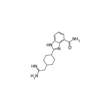 N=C(N)CC1CCC(c2nc3c(C(N)=O)cccc3[nH]2)CC1